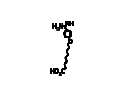 N=C(N)c1ccc(OCCCCCCCCC(=O)O)cc1